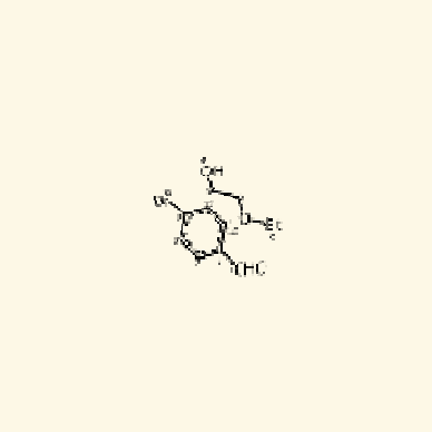 CCOCCO.O=Cc1ccc(Br)cc1